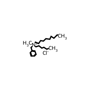 CCCCCCCCCC[N+](C)(CCCCCC)Cc1ccccc1.[Cl-]